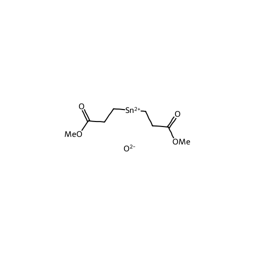 COC(=O)C[CH2][Sn+2][CH2]CC(=O)OC.[O-2]